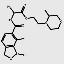 Cc1c(C(=O)NC(C(=O)OCCN2CCOCC2C)C(C)C)ccc2c1B(O)OC2